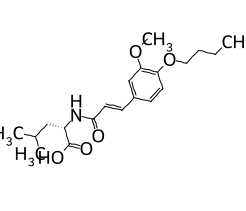 CCCCOc1ccc(C=CC(=O)N[C@@H](CC(C)C)C(=O)O)cc1OC